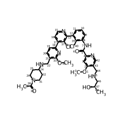 COc1cc(C(=O)Nc2cccc(-c3nccc(-c4ccc(CNC5CCN(C(C)=O)CC5)c(OC)n4)c3Cl)c2Cl)ncc1CNC[C@@H](C)O